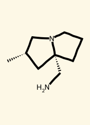 C[C@@H]1CN2CCC[C@@]2(CN)C1